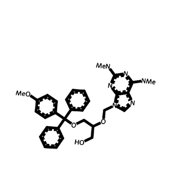 CNc1nc(NC)c2ncn(COC(CO)COC(c3ccccc3)(c3ccccc3)c3ccc(OC)cc3)c2n1